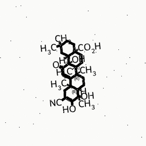 CC1(C)CC[C@]2(C(=O)O)CC[C@@]3(C)[C@]4(C)CC[C@H]5[C@](C)(O)C(O)=C(C#N)C[C@]5(C)C4=CC(=O)[C@]3(O)[C@@H]2C1